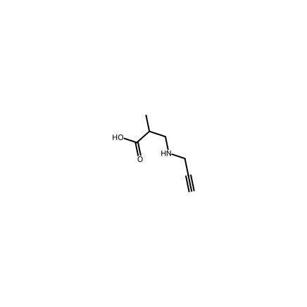 C#CCNCC(C)C(=O)O